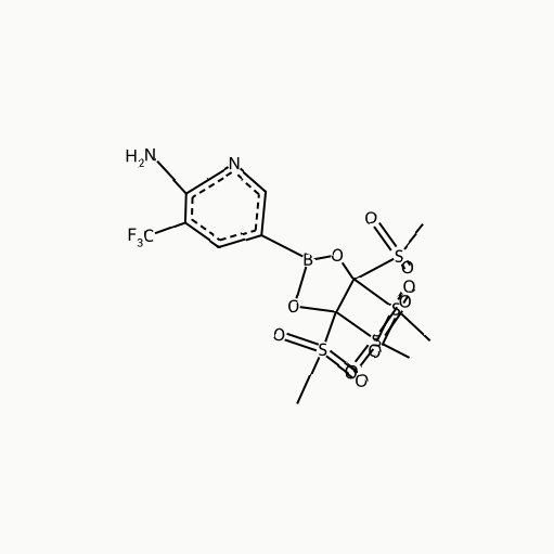 CS(=O)(=O)C1(S(C)(=O)=O)OB(c2cnc(N)c(C(F)(F)F)c2)OC1(S(C)(=O)=O)S(C)(=O)=O